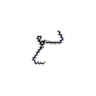 CCCCC/C=C\C/C=C\CCCCCCCCOc1cc(CN2CCCC2)cc(OCCCCCCCC/C=C\C/C=C\CCCCC)c1